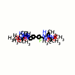 COC(=O)N[C@H](C(=O)N1CC(C)C[C@H]1c1ncc(-c2ccc(-c3ccc4c(ccc5nc([C@H](C)N(C(=O)[C@@H](NC(=O)OC)C(C)C)C(C)C)[nH]c54)c3)cc2F)[nH]1)C(C)C